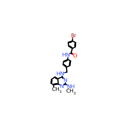 CNc1nc(NCc2ccc(NC(=O)c3ccc(Br)cc3)cc2)c2cccc(C)c2n1